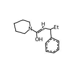 CCC([SH]=C(O)N1CCCCC1)c1ccccc1